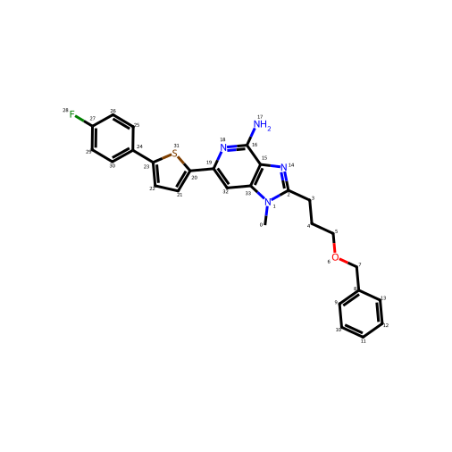 Cn1c(CCCOCc2ccccc2)nc2c(N)nc(-c3ccc(-c4ccc(F)cc4)s3)cc21